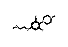 COCCOc1cc(F)c(N2CCN(C)CC2)c(F)c1